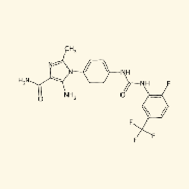 Cc1nc(C(N)=O)c(N)n1-c1ccc(NC(=O)Nc2cc(C(F)(F)F)ccc2F)cc1